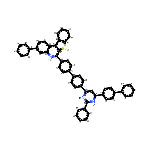 c1ccc(-c2ccc(-c3cc(-c4ccc(-c5ccc(-c6nc7cc(-c8ccccc8)ccc7c7c6sc6ccccc67)cc5)cc4)nc(-c4ccccc4)n3)cc2)cc1